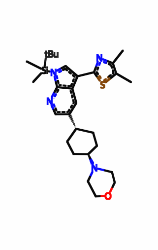 Cc1nc(-c2cn([Si](C)(C)C(C)(C)C)c3ncc([C@H]4CC[C@H](N5CCOCC5)CC4)cc23)sc1C